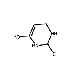 OC1=CCNC(Cl)N1